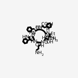 CC[C@@H](NC1CCC(N[C@@H](Cc2ccccc2)C(=O)O)C(=O)[C@H](Cc2ccccc2)NOC(=O)[C@H](Cc2c[nH]c3ccccc23)NC(=O)[C@H](CCCCN)NC(=O)[C@H]([C@@H](C)O)N1)[C@@H](C)O